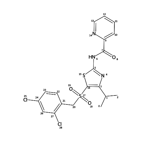 CC(C)c1nc(NC(=O)c2ccccn2)sc1S(=O)(=O)Cc1ccc(Cl)cc1Cl